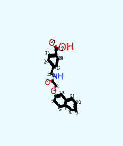 O=C(COc1ccc2ccccc2c1)NCc1ccc(C(=O)O)cc1